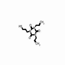 C=CCn1c(=O)n(CC=C)c(=O)n(CCCS)c1=O